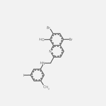 Cc1cc(I)cc(NCc2ccc3c(Br)cc(Br)c(O)c3n2)c1